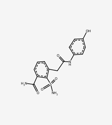 NC(=O)c1cccc(CC(=O)Nc2ccc(O)cc2)c1S(N)(=O)=O